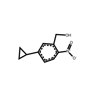 O=[N+]([O-])c1ccc(C2CC2)cc1[CH]O